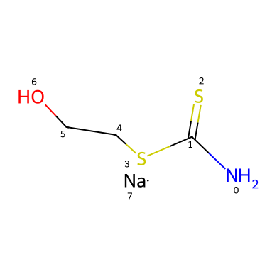 NC(=S)SCCO.[Na]